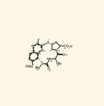 COc1ccc2nc(C)c(O[C@@H]3C[C@@H](C(=O)O)N(C(=O)C(NC(=O)OC(C)(C)C)C(C)(C)C)C3)nc2c1